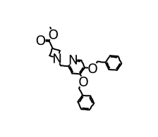 COC(=O)C1CN(Cc2cc(OCc3ccccc3)c(OCc3ccccc3)cn2)C1